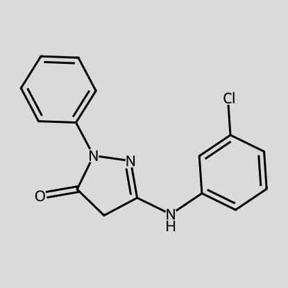 O=C1CC(Nc2cccc(Cl)c2)=NN1c1ccccc1